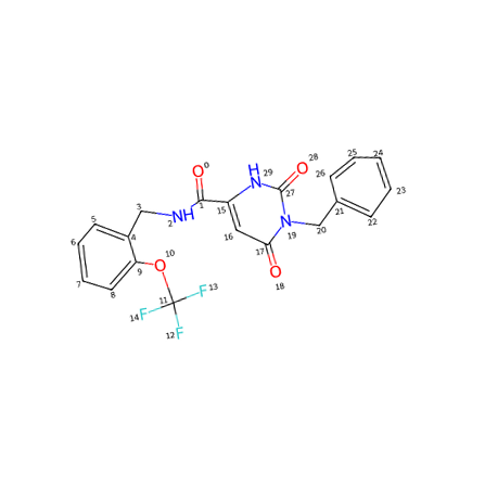 O=C(NCc1ccccc1OC(F)(F)F)c1cc(=O)n(Cc2ccccc2)c(=O)[nH]1